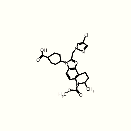 COC(=O)N1c2ccc3c(nc(Cn4cc(Cl)cn4)n3C3CCC(C(=O)O)CC3)c2CCC1C